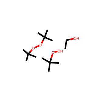 CC(C)(C)OO.CC(C)(C)OOC(C)(C)C.CCO